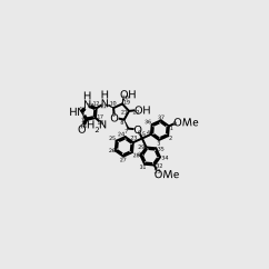 COc1ccc(C(OC[C@H]2O[C@@H](Nc3[nH][nH]c(=O)c3N)[C@@H](O)C2O)(c2ccccc2)c2ccc(OC)cc2)cc1